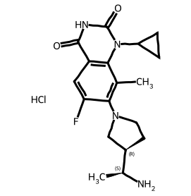 Cc1c(N2CC[C@@H]([C@H](C)N)C2)c(F)cc2c(=O)[nH]c(=O)n(C3CC3)c12.Cl